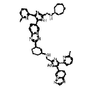 Cc1cccc(-c2nc(CNC3CCCCCC3)[nH]c2-c2ccc3nc(C4CCCC(NCc5nc(-c6cccc(C)n6)c(-c6ccc7ncnn7c6)[nH]5)C4)nn3c2)n1